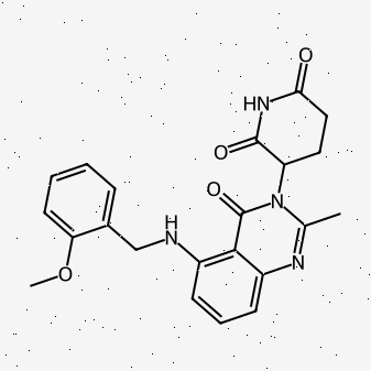 COc1ccccc1CNc1cccc2nc(C)n(C3CCC(=O)NC3=O)c(=O)c12